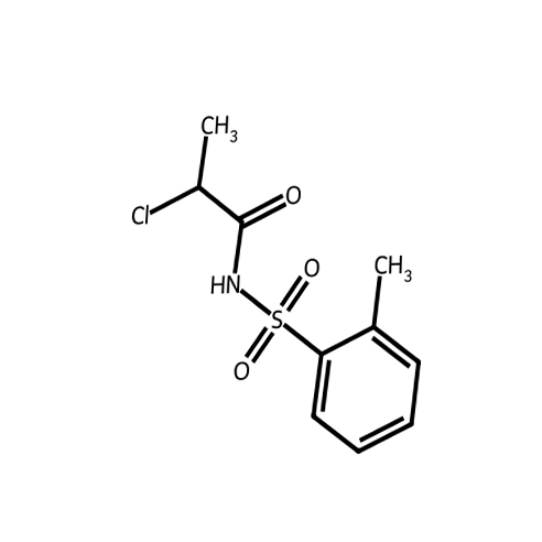 Cc1ccccc1S(=O)(=O)NC(=O)C(C)Cl